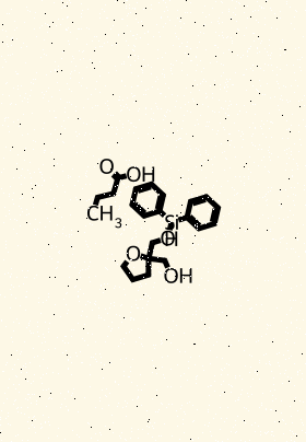 CCCC(=O)O.OCC1(CO[SiH](c2ccccc2)c2ccccc2)CCCO1